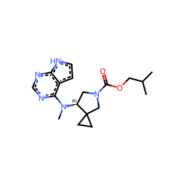 CC(C)COC(=O)N1C[C@H](N(C)c2ncnc3[nH]ccc23)C2(CC2)C1